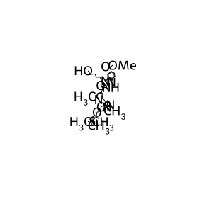 COC(=O)c1ccc2nc(NC(=O)c3cc(C)nc(-c4cnn(C)c4OCOCC[Si](C)(C)C)c3)n(CCCCCO)c2c1